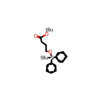 CC(C)(C)OC(=O)CCCO[Si](c1ccccc1)(c1ccccc1)C(C)(C)C